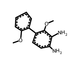 COc1ccccc1-c1ccc(N)c(N)c1OC